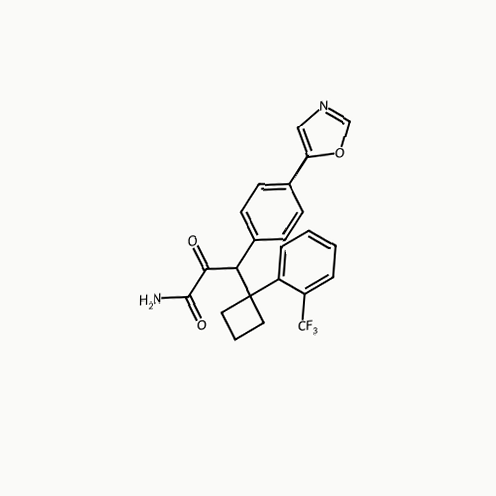 NC(=O)C(=O)C(c1ccc(-c2cnco2)cc1)C1(c2ccccc2C(F)(F)F)CCC1